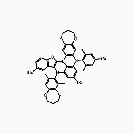 Cc1cc(C(C)(C)C)cc(C)c1N1c2cc3c(cc2B2c4oc5ccc(C(C)(C)C)cc5c4N(c4c(C)cc5c(c4C)OCCCO5)c4cc(C(C)(C)C)cc1c42)OCCCO3